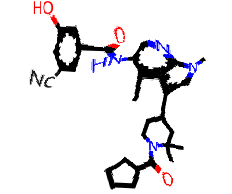 Cc1c(NC(=O)c2cc(O)cc(C#N)c2)cnc2c1c(C1CCN(C(=O)C3CCCC3)C(C)(C)C1)cn2C